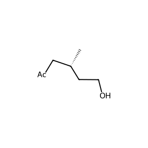 CC(=O)C[C@H](C)CCO